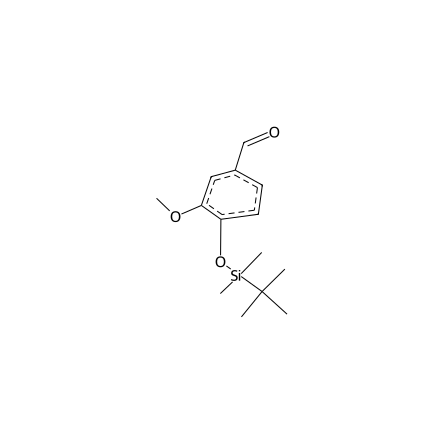 COc1cc(C=O)ccc1O[Si](C)(C)C(C)(C)C